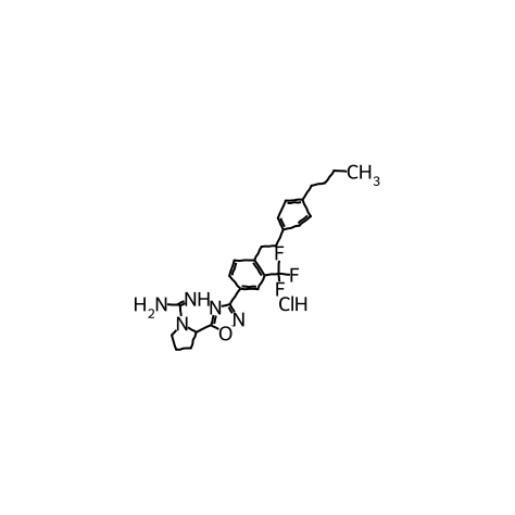 CCCCc1ccc(CCc2ccc(-c3noc(C4CCCN4C(=N)N)n3)cc2C(F)(F)F)cc1.Cl